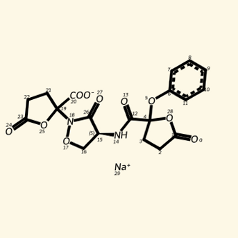 O=C1CCC(Oc2ccccc2)(C(=O)N[C@H]2CON(C3(C(=O)[O-])CCC(=O)O3)C2=O)O1.[Na+]